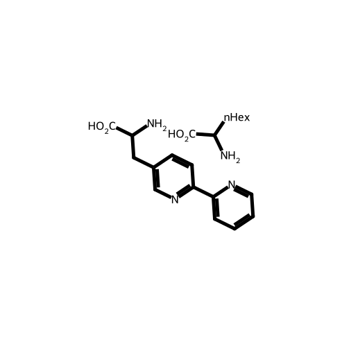 CCCCCCC(N)C(=O)O.NC(Cc1ccc(-c2ccccn2)nc1)C(=O)O